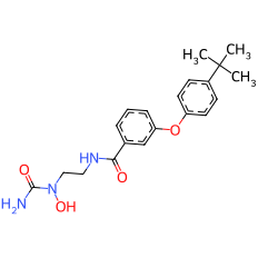 CC(C)(C)c1ccc(Oc2cccc(C(=O)NCCN(O)C(N)=O)c2)cc1